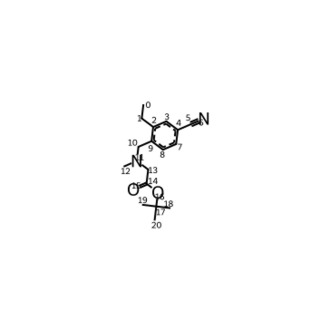 CCc1cc(C#N)ccc1CN(C)CC(=O)OC(C)(C)C